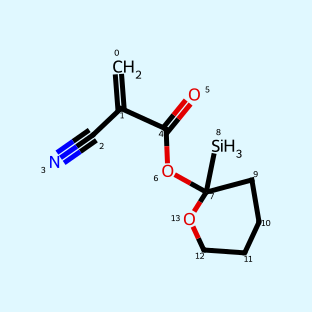 C=C(C#N)C(=O)OC1([SiH3])CCCCO1